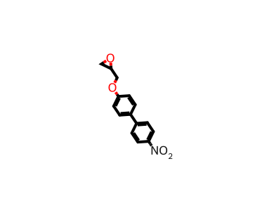 O=[N+]([O-])c1ccc(-c2ccc(OCC3CO3)cc2)cc1